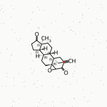 C#CC[C@]12CCC(=O)C3O[C@@]31CC[C@@H]1[C@@H]2CC[C@]2(C)C(=O)CC[C@@H]12